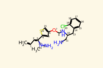 C=C/C=C(/c1cc(OCN[C@H](CN)Cc2ccccc2Cl)cs1)N(C)N